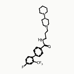 O=C(NCCCN1CCC(N2CCCCC2)CC1)c1ccc(-c2ccc(F)cc2C(F)(F)F)cc1